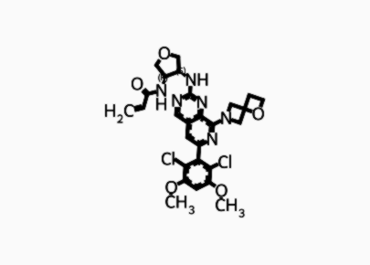 C=CC(=O)N[C@H]1COC[C@H]1Nc1ncc2cc(-c3c(Cl)c(OC)cc(OC)c3Cl)nc(N3CC4(CCO4)C3)c2n1